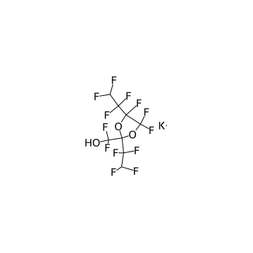 OC(F)(F)C1(C(F)(F)C(F)F)OC(F)(F)C(F)(C(F)(F)C(F)F)O1.[K]